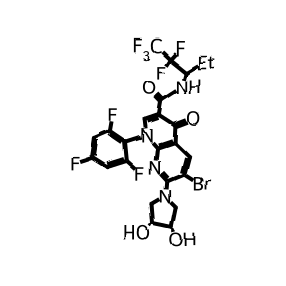 CCC(NC(=O)c1cn(-c2c(F)cc(F)cc2F)c2nc(N3C[C@@H](O)[C@H](O)C3)c(Br)cc2c1=O)C(F)(F)C(F)(F)F